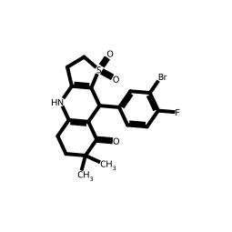 CC1(C)CCC2=C(C1=O)C(c1ccc(F)c(Br)c1)C1=C(CCS1(=O)=O)N2